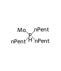 CCCCC[PH]([Mo])(CCCCC)CCCCC